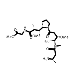 CC[C@H](C)[C@@H]([C@@H](CC(=O)N1CCC[C@H]1[C@H](OC)[C@@H](C)C(=O)NCC(=O)OC)OC)N(C)C(=O)C[C@H](C)N